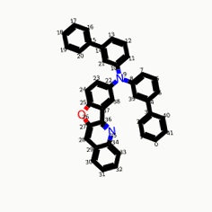 c1ccc(-c2cccc(N(c3cccc(-c4ccccc4)c3)c3ccc4oc5cc6ccccc6nc5c4c3)c2)cc1